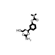 CN(C)C(=O)Oc1cccc([C@H](CCO)OC(N)=O)c1